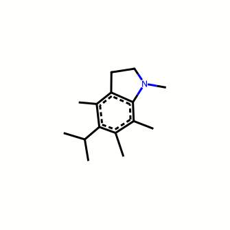 Cc1c(C)c2c(c(C)c1C(C)C)CCN2C